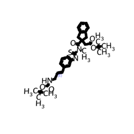 CN(C(=O)C1(CC(=O)OC(C)(C)C)Cc2ccccc2C1)c1nc2cc(/C=C/CNC(=O)OC(C)(C)C)ccc2s1